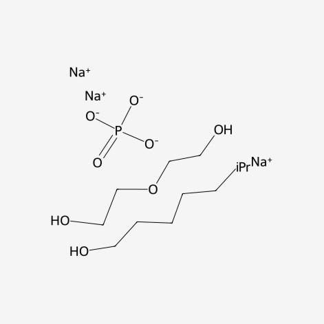 CC(C)CCCCCO.O=P([O-])([O-])[O-].OCCOCCO.[Na+].[Na+].[Na+]